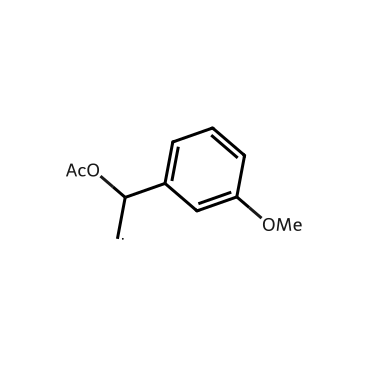 [CH2]C(OC(C)=O)c1cccc(OC)c1